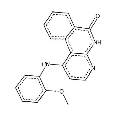 COc1ccccc1Nc1ccnc2[nH]c(=O)c3ccccc3c12